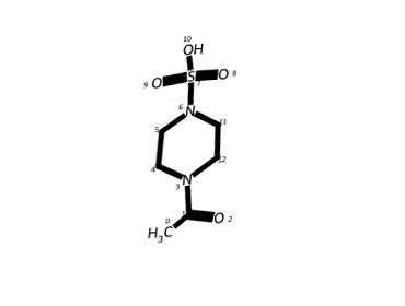 CC(=O)N1CCN(S(=O)(=O)O)CC1